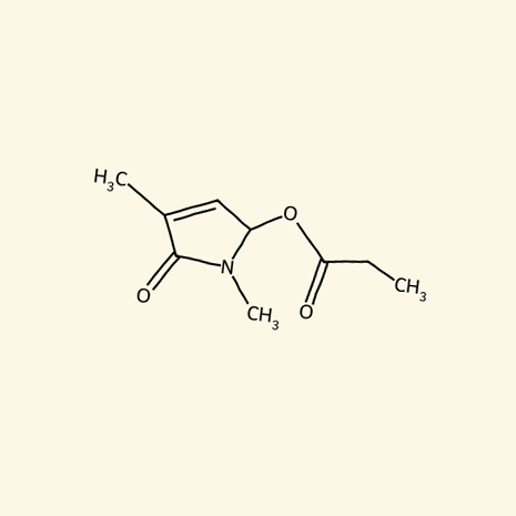 CCC(=O)OC1C=C(C)C(=O)N1C